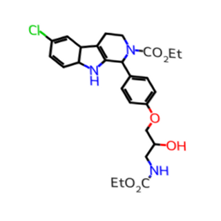 CCOC(=O)NCC(O)COc1ccc(C2C3=C(CCN2C(=O)OCC)C2C=C(Cl)C=CC2N3)cc1